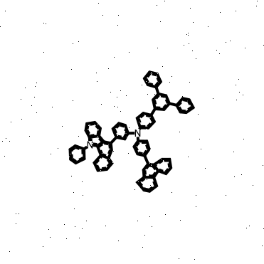 c1ccc(-c2cc(-c3ccccc3)cc(-c3ccc(N(c4ccc(-c5cc6ccccc6c6ccccc56)cc4)c4cccc(-c5cc6ccccc6c6c5c5ccccc5n6-c5ccccc5)c4)cc3)c2)cc1